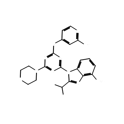 COc1cc(Nc2nc(N3CCOCC3)nc(-n3c(C(F)F)nc4c(OC)cccc43)n2)ccn1